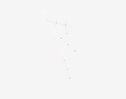 OCC(F)(OC(F)(F)C(F)(OC(F)(F)C(F)(F)C(F)(F)F)C(F)(F)F)C(F)(F)F